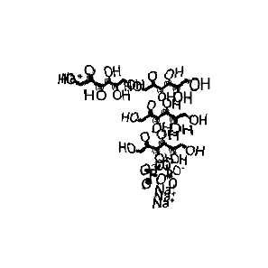 O=C(CO)[C@@H](O)[C@H](O)[C@H](O)CO.O=C(CO)[C@@H](O)[C@H](O)[C@H](O)CO.O=C(CO)[C@@H](O)[C@H](O)[C@H](O)CO.O=C(CO)[C@@H](O)[C@H](O)[C@H](O)CO.O=P([O-])([O-])OP(=O)([O-])[O-].[Na+].[Na+].[Na+].[Na+]